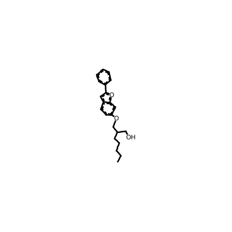 CCCCCC(CO)COc1ccc2cc(-c3ccccc3)oc2c1